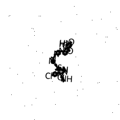 CCNC(=O)C[C@@H]1N=C(c2ccc(Cl)cc2)c2c(sc(C#Cc3cnn(CCCN4CCC(Nc5cccc6c5CN(C5CCC(=O)NC5=O)C6=O)CC4)c3)c2C)-n2c(C)nnc21